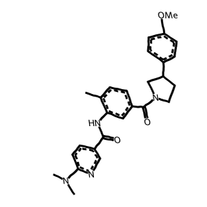 COc1ccc(C2CCN(C(=O)c3ccc(C)c(NC(=O)c4ccc(N(C)C)nc4)c3)C2)cc1